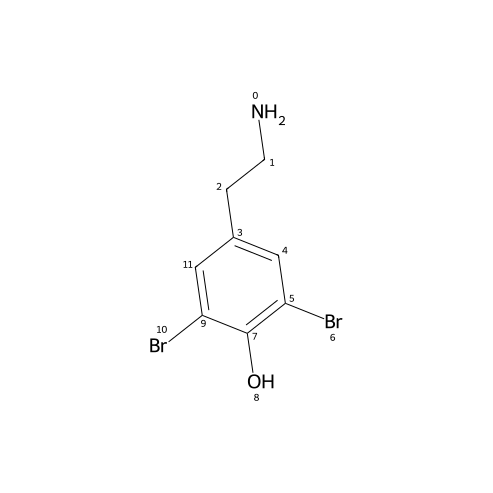 NCCc1cc(Br)c(O)c(Br)c1